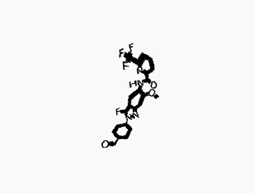 COc1cc2nn([C@H]3CC[C@H](C=O)CC3)c(F)c2cc1NC(=O)c1cccc(C(F)(F)F)n1